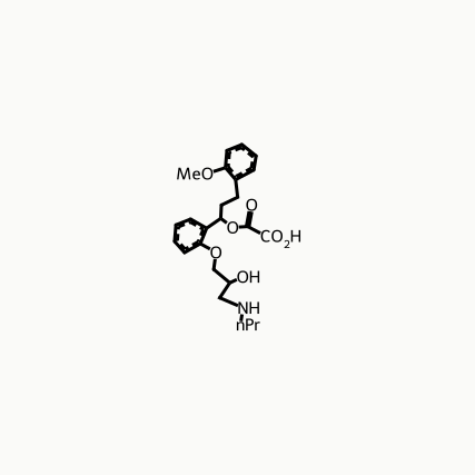 CCCNCC(O)COc1ccccc1C(CCc1ccccc1OC)OC(=O)C(=O)O